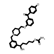 CCCC(CCCCOC(N)=O)c1cccc(CN2CCC(COc3cccc(C(=O)c4ccc(Cl)cc4)c3)CC2)c1